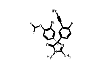 CCc1cc([C@]2(c3ccc(F)c(C#CC(C)C)c3)N=C(N)N(C)C2=O)ccc1OC(F)F